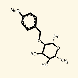 COc1ccc(CO[C@@H]2[C@H](O)[C@H](O)[C@@H](C)O[C@H]2S)cc1